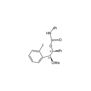 CO[C@@H](c1ccccc1I)[C@@H](OC(=O)NC(C)C)C(C)C